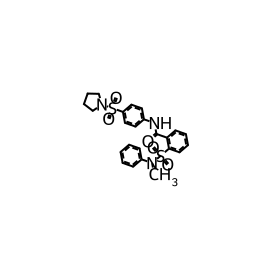 CN(c1ccccc1)S(=O)(=O)c1ccccc1C(=O)Nc1ccc(S(=O)(=O)N2CCCC2)cc1